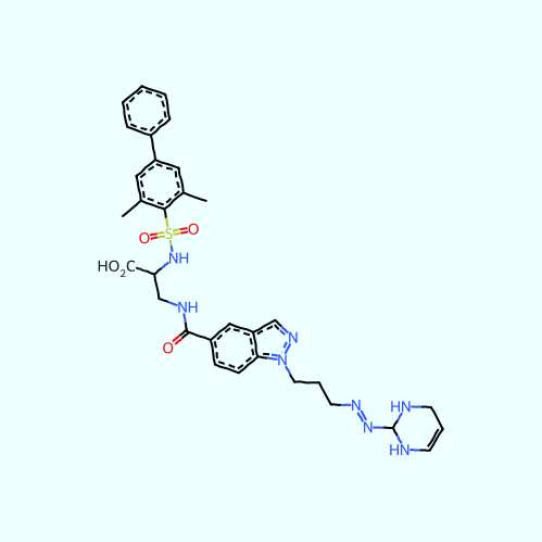 Cc1cc(-c2ccccc2)cc(C)c1S(=O)(=O)NC(CNC(=O)c1ccc2c(cnn2CCCN=NC2NC=CCN2)c1)C(=O)O